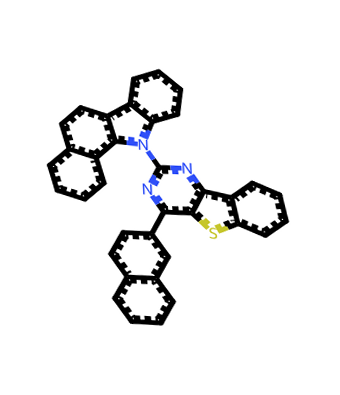 c1ccc2cc(-c3nc(-n4c5ccccc5c5ccc6ccccc6c54)nc4c3sc3ccccc34)ccc2c1